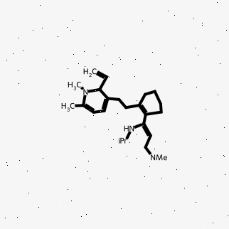 C=CC1C(CCC2=C(/C(=C/CNC)NC(C)C)CCCC2)=CC=C(C)N1C